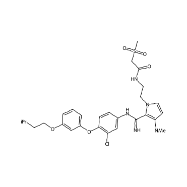 CNc1ccn(CCNC(=O)CS(C)(=O)=O)c1C(=N)Nc1ccc(Oc2cccc(OCCC(C)C)c2)c(Cl)c1